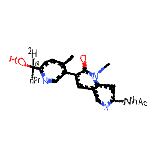 [2H][C@](O)(CCC)c1cc(C)c(-c2cc3cnc(NC(C)=O)cc3n(C)c2=O)cn1